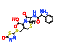 NC(C(=O)NC1C(=O)N2C(C(=O)O)=C(CSC3N=NC(=O)S3)CS[C@@H]12)c1ccccc1